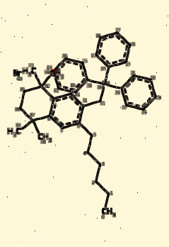 CCCCCCc1cc2c(cc1C[P+](c1ccccc1)(c1ccccc1)c1ccccc1)C(C)(C)CCC2(C)C.[Br-]